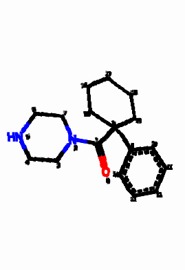 O=C(N1CCNCC1)C1(c2ccccc2)CCCCC1